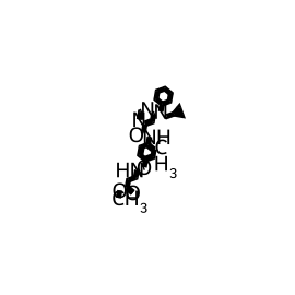 COC(=O)CCNOc1ccc(NC(=O)c2cc(N(CC3CC3)C3CCCCC3)ncn2)c(C)c1